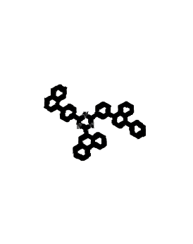 c1ccc(-c2ccc(-c3cccc(-c4nc(-c5ccc(-c6cccc7ccccc67)cc5)nc(-c5cc6ccccc6c6ccccc56)n4)c3)c3ccccc23)cc1